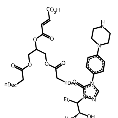 CCC([C@H](C)O)n1ncn(-c2ccc(N3CCNCC3)cc2)c1=O.CCCCCCCCCCCC(=O)OCC(COC(=O)CCCCCCCCCCC)OC(=O)/C=C/C(=O)O